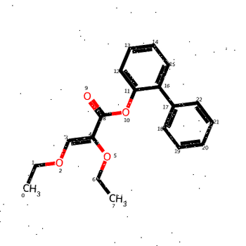 CCOC=C(OCC)C(=O)Oc1ccccc1-c1ccccc1